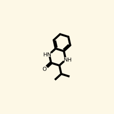 CC(C)C1NC2=CCCC=C2NC1=O